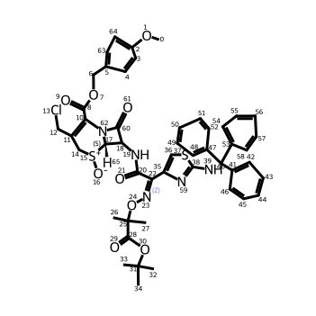 COc1ccc(COC(=O)C2=C(CCl)C[S+]([O-])[C@H]3C(NC(=O)/C(=N\OC(C)(C)C(=O)OC(C)(C)C)c4csc(NC(c5ccccc5)(c5ccccc5)c5ccccc5)n4)C(=O)N23)cc1